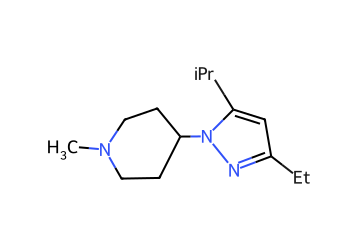 CCc1cc(C(C)C)n(C2CCN(C)CC2)n1